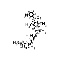 Cc1c(C)c2c(c(C)c1OCc1cccc(N)c1)CC[C@@](C)(CCC[C@H](N)CCC[C@H](C)CCCC(C)C)O2